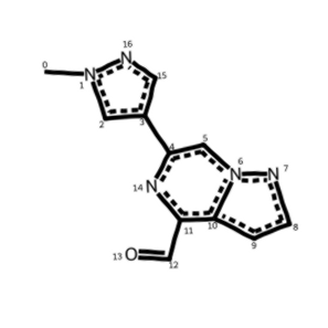 Cn1cc(-c2cn3nccc3c(C=O)n2)cn1